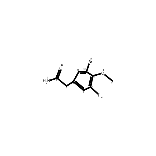 COc1c(F)cc(CC(N)=O)cc1Br